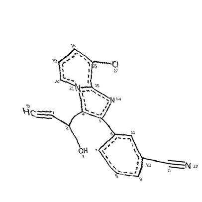 C#CC(O)c1c(-c2cccc(C#N)c2)nc2c(Cl)cccn12